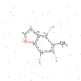 Cc1c(F)c(F)c2occc2c1F